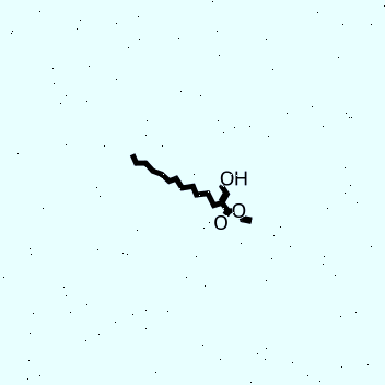 C=COC(=O)C(=CCO)CCCCCCCCCCCC